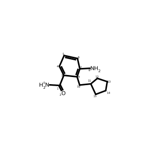 NC(=O)c1cccc(N)c1CC1CCCC1